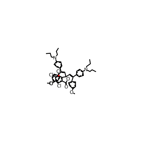 CCCN(CCC)c1ccc(/C(=C/C2(/C=C(\c3ccc(OC)cc3)c3ccc(N(CCC)CCC)cc3)OC(=O)c3c(Cl)c(Cl)c(Cl)c(Cl)c32)c2ccc(OC)cc2)cc1